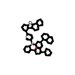 c1ccc(-c2ccc(-c3ccccc3N(c3ccc(-c4cccc5oc6c7ccccc7ccc6c45)cc3)c3cccc(-c4cccc5ccccc45)c3)cc2)cc1